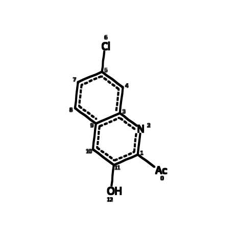 CC(=O)c1nc2cc(Cl)ccc2cc1O